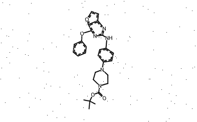 CC(C)(C)OC(=O)N1CCN(c2ccc(Nc3nc(Oc4ccccc4)c4occc4n3)cc2)CC1